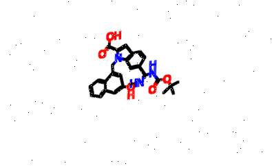 CC(C)(C)OC(=O)NC(=N)c1ccc2cc(C(=O)O)n(Cc3cc(O)cc4ccccc34)c2c1